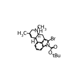 CC1=C[C@@H]2c3cccc4c3c(c(Br)n4C(=O)OC(C)(C)C)C[C@H]2N(C)C1